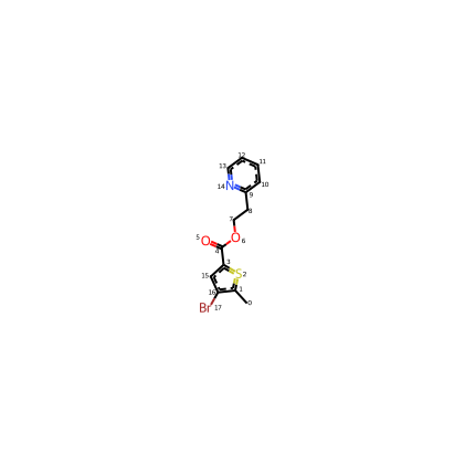 Cc1sc(C(=O)OCCc2ccccn2)cc1Br